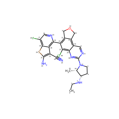 CCN[C@H]1CCN(c2ncc3c4c(c(-c5ncc(F)c6sc(N)c(C#N)c56)c(Cl)c3n2)COC4)[C@H]1C